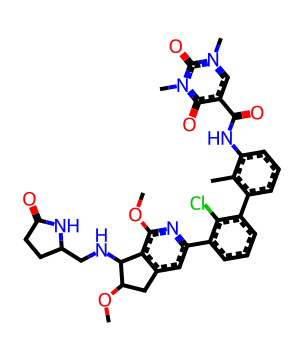 COc1nc(-c2cccc(-c3cccc(NC(=O)c4cn(C)c(=O)n(C)c4=O)c3C)c2Cl)cc2c1C(NCC1CCC(=O)N1)C(OC)C2